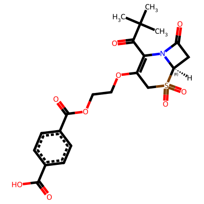 CC(C)(C)C(=O)C1=C(OCCOC(=O)c2ccc(C(=O)O)cc2)CS(=O)(=O)[C@@H]2CC(=O)N12